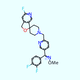 CO/N=C(/c1ccc(CN2CCC3(CC2)OCc2cc(F)ncc23)nc1)c1ccc(F)c(F)c1